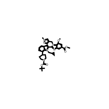 COC(=O)c1cc(OC)c2c(c1)nc(-c1cc3cccc(C4CCN(C(=O)OC(C)(C)C)CC4)c3n1CC1CC1)n2Cc1cnn(C)c1